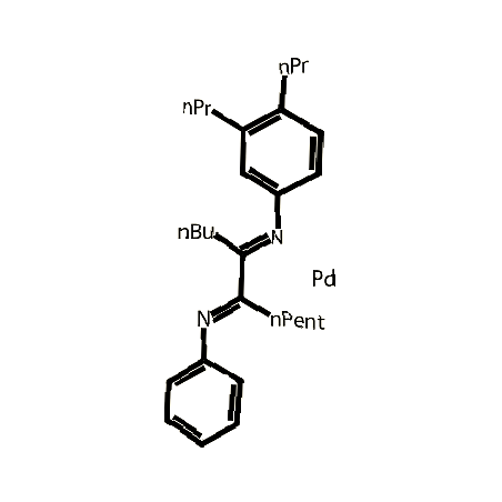 CCCCCC(=N\c1ccccc1)/C(CCCC)=N/c1ccc(CCC)c(CCC)c1.[Pd]